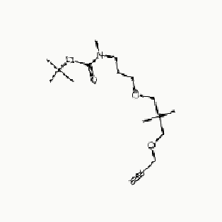 C#CCOCC(C)(C)COCCCN(C)C(=O)OC(C)(C)C